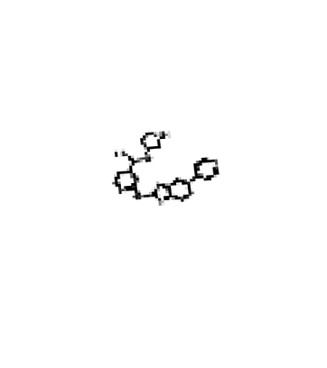 N=C(NC1CCNC1)c1ccnc(Nc2nc3ccc(-c4ccncc4)cc3s2)c1